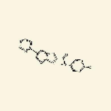 O=C(Nc1ccc(Cl)cc1)c1cc2cc(-c3ccccn3)ccc2s1